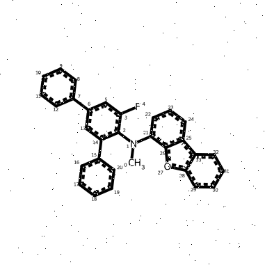 CN(c1c(F)cc(-c2ccccc2)cc1-c1ccccc1)c1cccc2c1oc1ccccc12